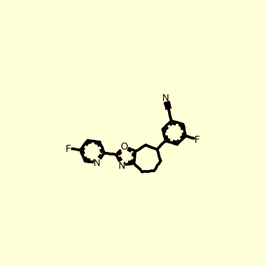 N#Cc1cc(F)cc(C2CCCc3nc(-c4ccc(F)cn4)oc3C2)c1